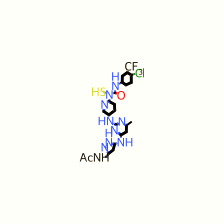 CC(=O)Nc1cc(Nc2cc(C)nc(Nc3ccc(N(S)C(=O)Nc4ccc(Cl)c(C(F)(F)F)c4)nc3)n2)[nH]n1